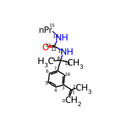 C=C(C)c1cccc(C(C)(C)NC(=O)NCCC)c1